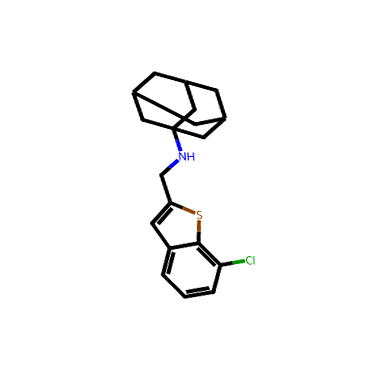 Clc1cccc2cc(CNC34CC5CC(CC(C5)C3)C4)sc12